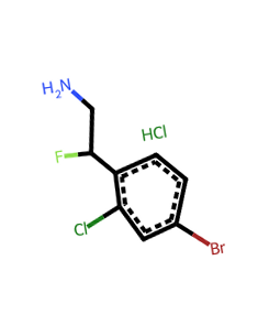 Cl.NCC(F)c1ccc(Br)cc1Cl